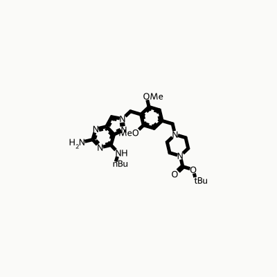 CCCCNc1nc(N)nc2cn(Cc3c(OC)cc(CN4CCN(C(=O)OC(C)(C)C)CC4)cc3OC)nc12